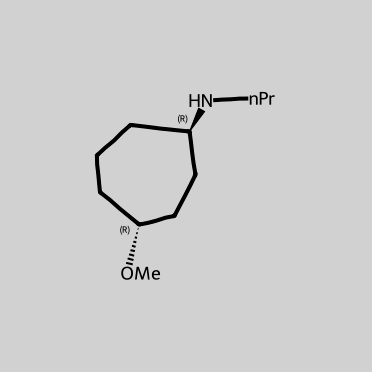 CCCN[C@@H]1CCC[C@@H](OC)CC1